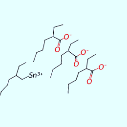 CCCCC(CC)C(=O)[O-].CCCCC(CC)C(=O)[O-].CCCCC(CC)C(=O)[O-].CCCCC(CC)[CH2][Sn+3]